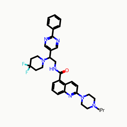 CC(C)N1CCN(c2ccc3c(C(=O)NCC(c4cnc(-c5ccccc5)nc4)N4CCC(F)(F)CC4)cccc3n2)CC1